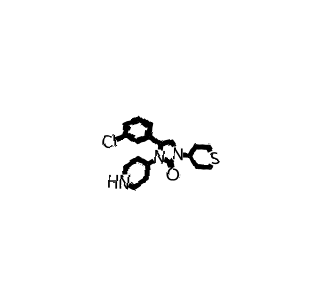 O=C1N(C2CCSCC2)CC(c2cccc(Cl)c2)N1C1CCNCC1